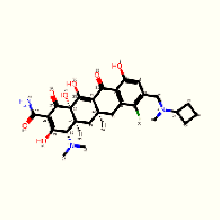 CN(Cc1cc(O)c2c(c1F)C[C@H]1C[C@H]3[C@H](N(C)C)C(O)=C(C(N)=O)C(=O)[C@@]3(O)C(O)=C1C2=O)C1CCC1